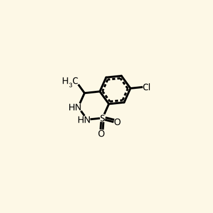 CC1NNS(=O)(=O)c2cc(Cl)ccc21